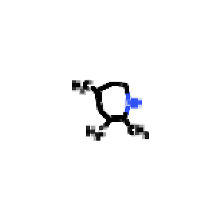 CC1=CC(C)=C(C)NCC1